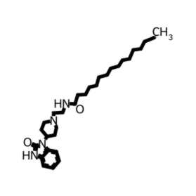 CCCCCCCCCCCCCCCC(=O)NCCN1CCC(n2c(=O)[nH]c3ccccc32)CC1